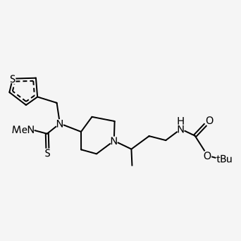 CNC(=S)N(Cc1ccsc1)C1CCN(C(C)CCNC(=O)OC(C)(C)C)CC1